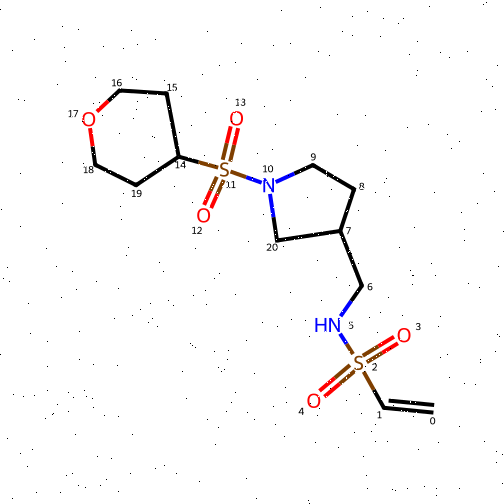 C=CS(=O)(=O)NCC1CCN(S(=O)(=O)C2CCOCC2)C1